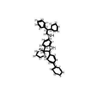 OC(c1ccc(C2CCCCC2)cc1)C1(c2ccc(NCC(c3ccccc3)c3ccccc3)cc2)SCCCS1